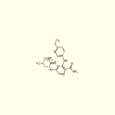 CCc1ccc(Nc2nc(NC(CC(C)C)C(N)=O)cnc2C(N)=O)cn1